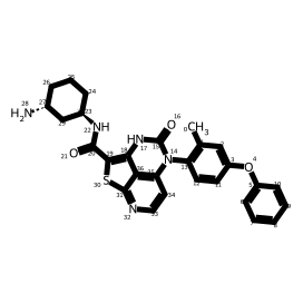 Cc1cc(Oc2ccccc2)ccc1N1C(=O)Nc2c(C(=O)N[C@@H]3CCC[C@@H](N)C3)sc3nccc1c23